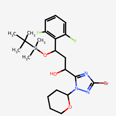 CC(C)(C)[Si](C)(C)OC(CC(O)c1nc(Br)nn1C1CCCCO1)c1c(F)cccc1F